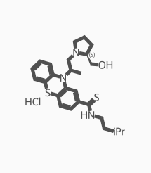 CC(C)CCNC(=S)c1ccc2c(c1)N(C(C)CN1CCC[C@H]1CO)c1ccccc1S2.Cl